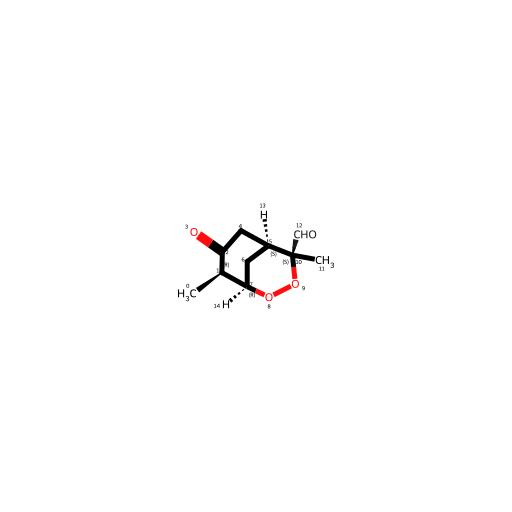 C[C@H]1C(=O)C[C@@H]2C[C@H]1OO[C@]2(C)C=O